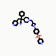 N#CC(Cc1ccncc1)(c1ccccc1)C1CCN(CC2CN(c3ccc(S(=O)(=O)c4ccncc4)cc3)C2)CC1